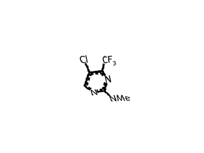 CNc1ncc(Cl)c(C(F)(F)F)n1